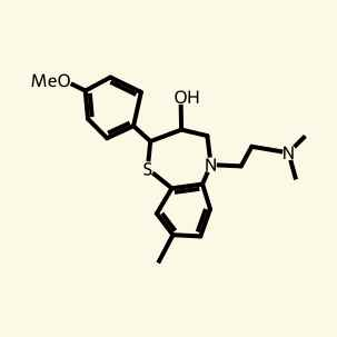 COc1ccc(C2Sc3cc(C)ccc3N(CCN(C)C)CC2O)cc1